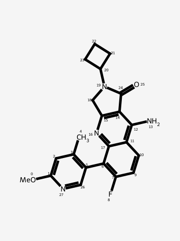 COc1cc(C)c(-c2c(F)ccc3c(N)c4c(nc23)CN(C2CCC2)C4=O)cn1